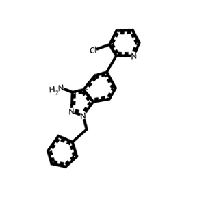 Nc1nn(Cc2ccccc2)c2ccc(-c3ncccc3Cl)cc12